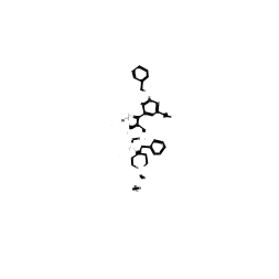 CN(c1ncc2c(-c3cc(C(F)(F)F)c(F)c(OCc4ccccc4)c3F)nn(C)c2n1)C1(Cc2ccccc2)CCN(C(=O)OC(C)(C)C)CC1